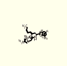 C=C/C=C\CC(C[C@H](NC(=O)Cn1cc(N)cn1)B1O[C@@H]2C[C@@H]3C[C@@H](C3(C)C)[C@]2(C)O1)OC(C)(C)C